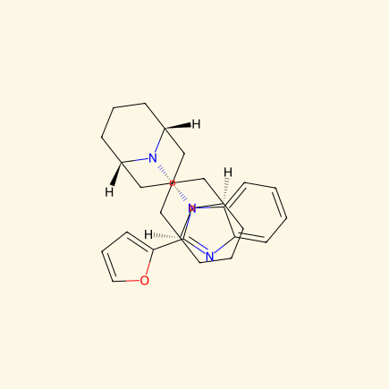 c1coc(-c2nc3ccccc3n2[C@H]2C[C@H]3CCC[C@@H](C2)N3[C@H]2C[C@@H]3CCC[C@@H](C3)C2)c1